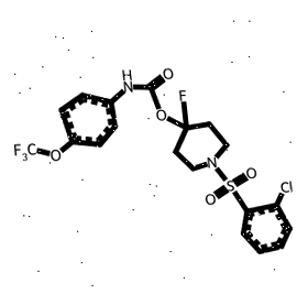 O=C(Nc1ccc(OC(F)(F)F)cc1)OC1(F)CCN(S(=O)(=O)c2ccccc2Cl)CC1